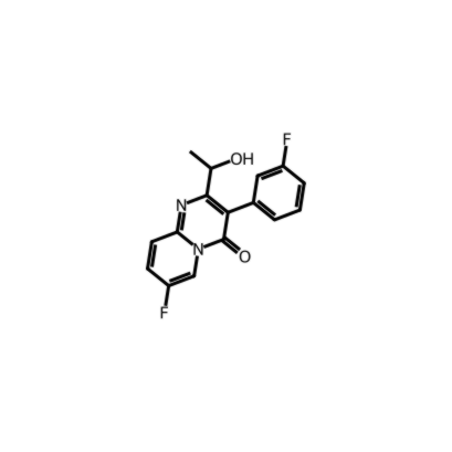 CC(O)c1nc2ccc(F)cn2c(=O)c1-c1cccc(F)c1